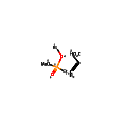 C=CC(=O)O.CCOP(=O)(CC)OC